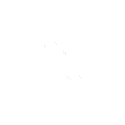 O=c1[nH]c(C2=C[C@H](N3CCN(c4ccc(F)cc4Cl)CC3)CC2)nc2c1CC1(CC2)CC1